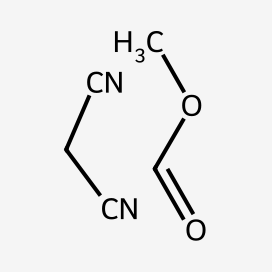 COC=O.N#CCC#N